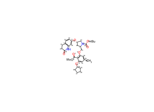 COC(=O)c1c(OC[C@H]2C[C@H](Oc3ccc4c(c3)NC(=O)CC4)CN2C(=O)OC(C)(C)C)cc(C)cc1OC1CCCC1